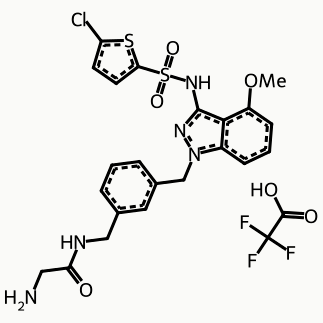 COc1cccc2c1c(NS(=O)(=O)c1ccc(Cl)s1)nn2Cc1cccc(CNC(=O)CN)c1.O=C(O)C(F)(F)F